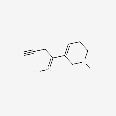 C#CCC(=NO)C1=CCCN(C)C1